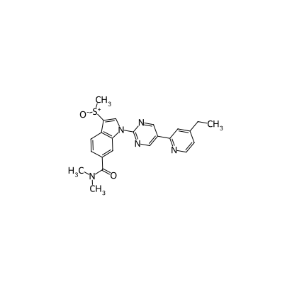 CCc1ccnc(-c2cnc(-n3cc([S+](C)[O-])c4ccc(C(=O)N(C)C)cc43)nc2)c1